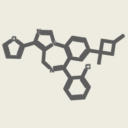 CC1CC(C)(c2ccc3c(c2)C(c2ccccc2Cl)=NCc2c(-c4ccco4)ncn2-3)C1